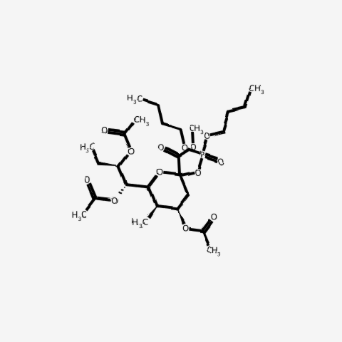 CCCCOP(=O)(OCCCC)OC1(C(=O)OC)C[C@@H](OC(C)=O)[C@@H](C)C([C@H](OC(C)=O)[C@@H](CC)OC(C)=O)O1